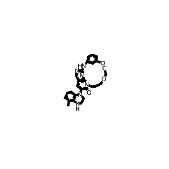 Cc1cccc2c1NCCN2c1cc2cnc3nc2n(c1=O)CCCOCCOc1cccc(c1)N3